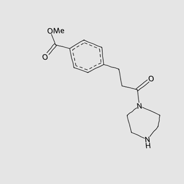 COC(=O)c1ccc(CCC(=O)N2CCNCC2)cc1